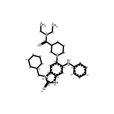 CCN(CC)C(=O)C1CCCN(c2cc3c(cc2Nc2ccccc2)[nH]c(=O)n3CC2CCCCC2)C1